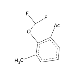 CC(=O)c1cccc(C)c1OC(F)F